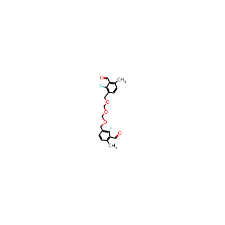 Cc1ccc(COCOCOCc2ccc(C)c(C=O)c2F)c(F)c1C=O